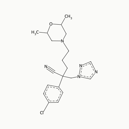 CC1CN(CCCC(C#N)(Cn2cncn2)c2ccc(Cl)cc2)CC(C)O1